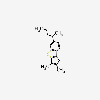 CCCC(C)c1ccc2c3c(sc2c1)C(C)=C(C)C3